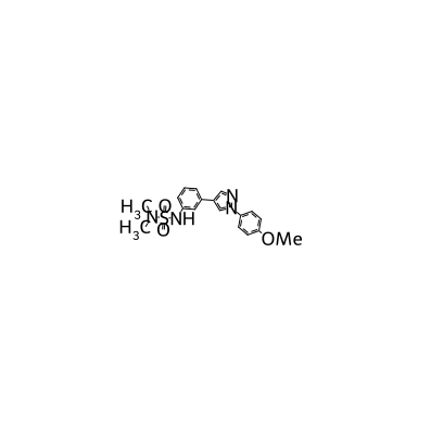 COc1ccc(-n2cc(-c3cccc(NS(=O)(=O)N(C)C)c3)cn2)cc1